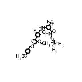 CCOc1cc(OCc2ccc(OC)cc2)ncc1-c1ccc(CC(=O)Nc2cc(C(=O)NCCN3CC(C)(C)C3)cc(C(F)(F)F)c2)c(F)c1